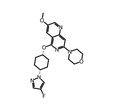 COc1cnc2cc(N3CCOCC3)nc(O[C@H]3CC[C@@H](n4cc(F)cn4)CC3)c2c1